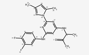 CC(=O)C(C)Nc1cc(Nc2ccc(F)c(F)c2)nc(-n2nc(C)cc2C)n1